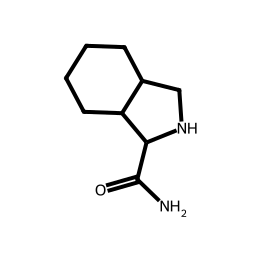 NC(=O)C1NCC2CCCCC21